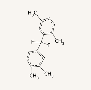 Cc1ccc(C)c(C(F)(F)c2ccc(C)c(C)c2)c1